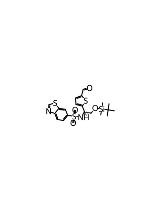 CC(C)(C)[Si](C)(C)OC[C@@H](NS(=O)(=O)c1ccc2ncsc2c1)c1ccc(C=O)s1